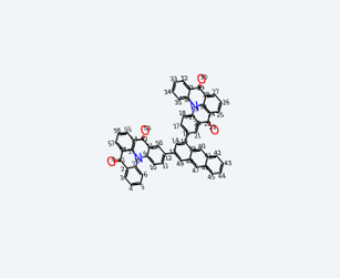 O=c1c2ccccc2n2c3ccc(-c4cc(-c5ccc6c(c5)c(=O)c5cccc7c(=O)c8ccccc8n6c75)c5cc6ccccc6cc5c4)cc3c(=O)c3cccc1c32